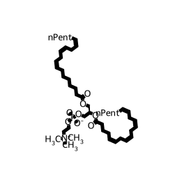 CCCCC/C=C\C/C=C\C/C=C\C/C=C\CCCC(=O)O[C@H](COC(=O)CCCCCC/C=C\C/C=C\C/C=C\CCCCC)COP(=O)([O-])OCC[N+](C)(C)C